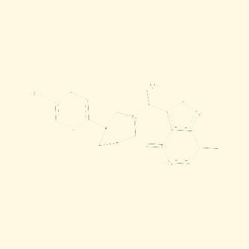 COC(c1c[nH]c2c(C)c[nH]c(=O)c12)N1CC2CC2(c2ccc(O)cc2)C1